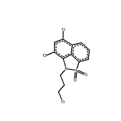 O=S1(=O)c2cccc3c(Cl)cc(Cl)c(c23)N1CCCCl